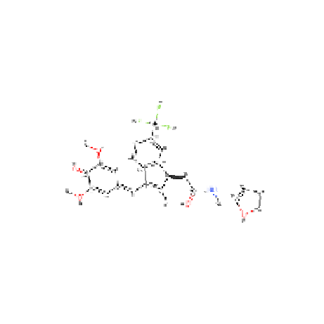 COC1=CC(=CC2=C(C)C(=CC(=O)NCc3ccco3)c3cc(C(F)(F)F)ccc32)C=C(OC)C1=O